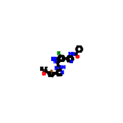 CC(=O)c1ccc(-c2ccnc3[nH]c(-c4n[nH]c5c(F)cc(-c6cncc(NC(=O)C7CCCCC7)c6)cc45)nc23)s1